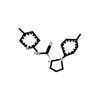 Cc1ccc(N2CCC[C@@H]2C(=O)Nc2ccc(C)cn2)cc1